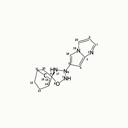 c1cnc2cc(N3NO[C@]4(CC5CCC4CC5)N3)cn2c1